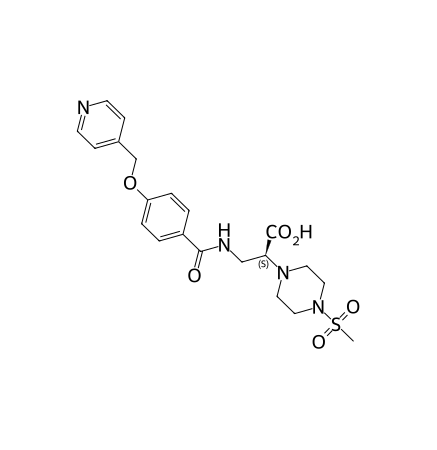 CS(=O)(=O)N1CCN([C@@H](CNC(=O)c2ccc(OCc3ccncc3)cc2)C(=O)O)CC1